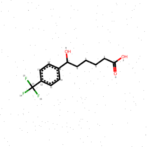 O=C(O)CCCCC(O)c1ccc(C(F)(F)F)cc1